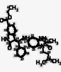 CCOC(=O)c1ccc2c(c1)NC(=O)C2=C(Nc1ccc(N(CCN(C)C)S(C)(=O)=O)c(N)c1)c1ccccc1